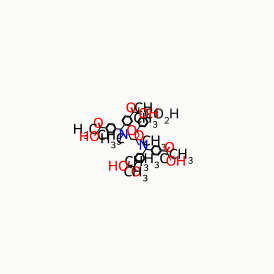 CN(CCC(CN(C)C(c1ccc(C(=O)C(C)(C)O)cc1)c1ccc(C(=O)C(C)(C)O)cc1)OC(=O)c1ccc(C(=O)O)cc1)C(c1ccc(C(=O)C(C)(C)O)cc1)c1ccc(C(=O)C(C)(C)O)cc1